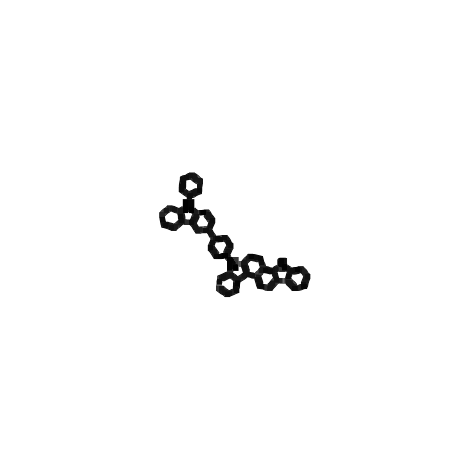 C1=Cc2c(n(-c3ccccc3)c3ccc(-c4ccc(-n5c6ccccc6c6c7ccc8c9ccccc9sc8c7ccc65)cc4)cc23)CC1